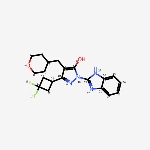 Oc1c(CC2CCOCC2)c(C2CC(F)(F)C2)nn1-c1nc2ccccc2[nH]1